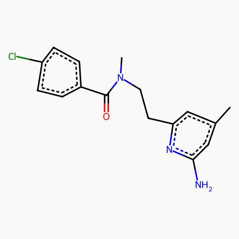 Cc1cc(N)nc(CCN(C)C(=O)c2ccc(Cl)cc2)c1